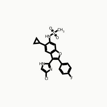 CS(=O)(=O)Nc1cc2oc(-c3ccc(F)cc3)c(-c3nc(Cl)c[nH]3)c2cc1C1CC1